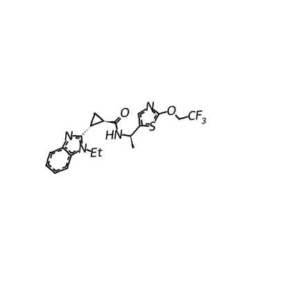 CCn1c([C@@H]2C[C@H]2C(=O)N[C@H](C)c2cnc(OCC(F)(F)F)s2)nc2ccccc21